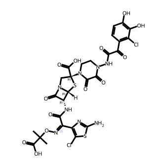 CC(C)(O/N=C(\C(=O)N[C@@H]1C(=O)N2C[C@@](C(=O)O)(N3CCN(NC(=O)C(=O)c4ccc(O)c(O)c4Cl)C(=O)C3=O)S[C@H]12)c1nc(N)sc1Cl)C(=O)O